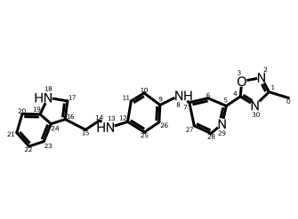 Cc1noc(-c2cc(Nc3ccc(NCCc4c[nH]c5ccccc45)cc3)ccn2)n1